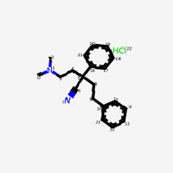 CN(C)CCC(C#N)(CCc1ccccc1)c1ccccc1.Cl